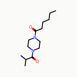 CCCCCC(=O)N1CCN(C(=O)C(C)C)CC1